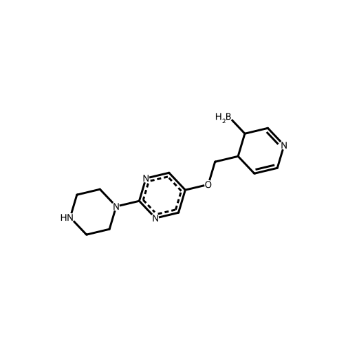 BC1C=NC=CC1COc1cnc(N2CCNCC2)nc1